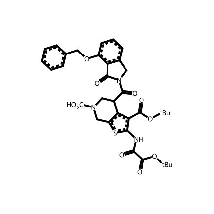 CC(C)(C)OC(=O)C(=O)Nc1sc2c(c1C(=O)OC(C)(C)C)C(C(=O)N1Cc3cccc(OCc4ccccc4)c3C1=O)CN(C(=O)O)C2